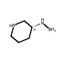 BN[C@@H]1CCCNC1